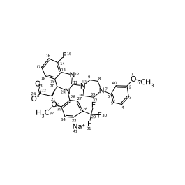 COc1cccc(N2CCN(C3=Nc4c(F)cccc4[C@H](CC(=O)[O-])N3c3cc(C(F)(F)F)ccc3OC)CC2)c1.[Na+]